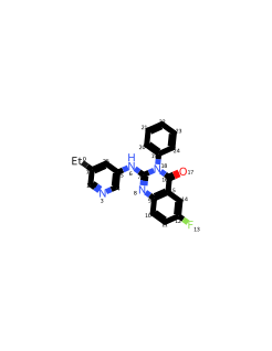 CCc1cncc(Nc2nc3ccc(F)cc3c(=O)n2-c2ccccc2)c1